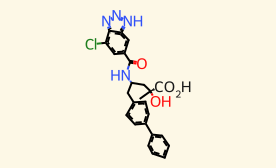 C[C@@](O)(CC(Cc1ccc(-c2ccccc2)cc1)NC(=O)c1cc(Cl)c2nn[nH]c2c1)C(=O)O